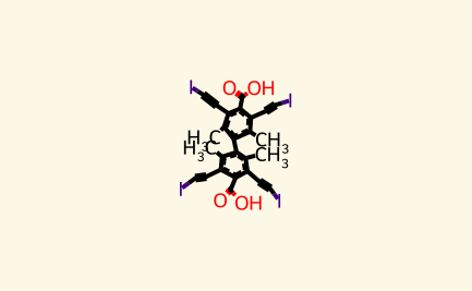 Cc1c(C#CI)c(C(=O)O)c(C#CI)c(C)c1-c1c(C)c(C#CI)c(C(=O)O)c(C#CI)c1C